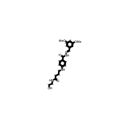 COc1cc(C=NNC(=O)c2ccc(NCCCC(=O)NCCO)cc2)cc(OC)c1